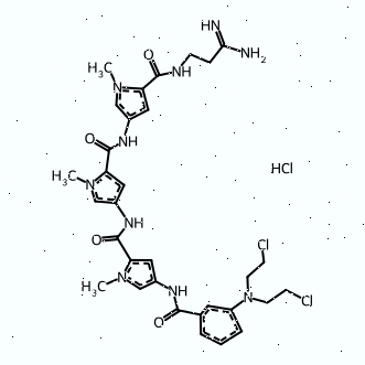 Cl.Cn1cc(NC(=O)c2cc(NC(=O)c3cc(NC(=O)c4cccc(N(CCCl)CCCl)c4)cn3C)cn2C)cc1C(=O)NCCC(=N)N